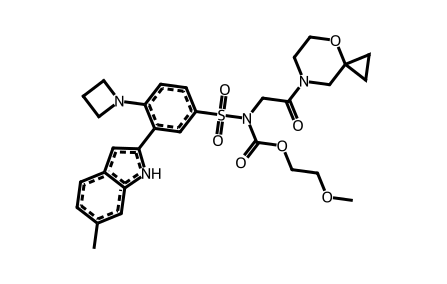 COCCOC(=O)N(CC(=O)N1CCOC2(CC2)C1)S(=O)(=O)c1ccc(N2CCC2)c(-c2cc3ccc(C)cc3[nH]2)c1